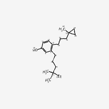 CCC(C)(C)CCCc1cc(O)ccc1CCCC1(C)CC1